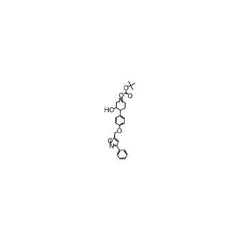 CC(C)(C)OC(=O)ON1CCC(c2ccc(OCc3cc(-c4ccccc4)no3)cc2)C(O)C1